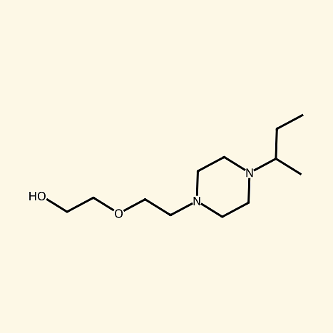 CCC(C)N1CCN(CCOCCO)CC1